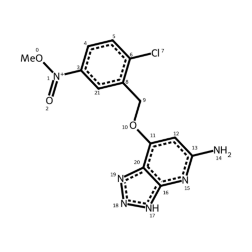 CO[N+](=O)c1ccc(Cl)c(COc2cc(N)nc3[nH]nnc23)c1